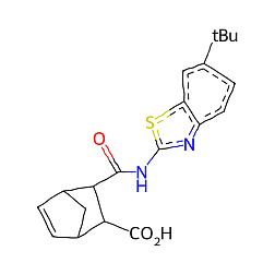 CC(C)(C)c1ccc2nc(NC(=O)C3C4C=CC(C4)C3C(=O)O)sc2c1